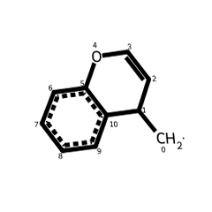 [CH2]C1C=COc2ccccc21